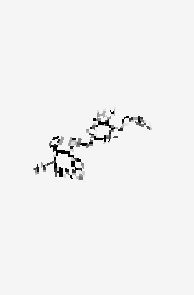 CCCC(NC)C(=O)C(=O)NCC(=O)NC(COC(C)(C)C)C(N)=O